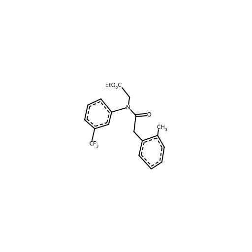 CCOC(=O)CN(C(=O)Cc1ccccc1C)c1cccc(C(F)(F)F)c1